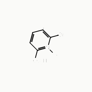 O=C(O)c1cccc(Br)[n+]1[O-]